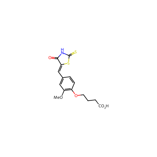 COc1cc(/C=C2\SC(=S)NC2=O)ccc1OCCCC(=O)O